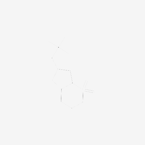 CC(C)(C)CC1CC2CCCS(=O)(=O)C2C1